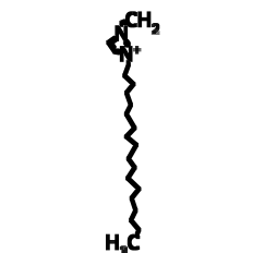 C=Cn1cc[n+](CCCCCCCCCCCCCCCCCC)c1